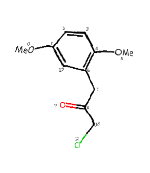 COc1ccc(OC)c(CC(=O)CCl)c1